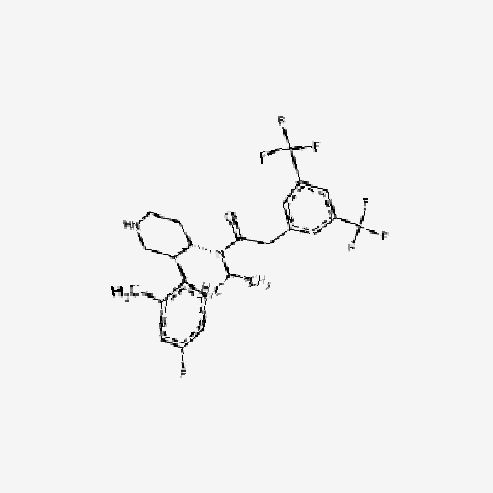 Cc1cc(F)ccc1[C@H]1CNCC[C@@H]1N(C(=O)Cc1cc(C(F)(F)F)cc(C(F)(F)F)c1)C(C)C